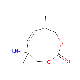 CC1/C=C\C(C)(N)COC(=O)OC1